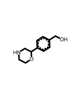 OCc1ccc(C2CNCCO2)cc1